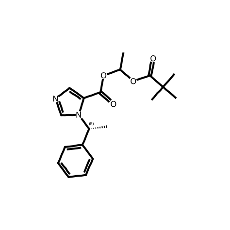 CC(OC(=O)c1cncn1[C@H](C)c1ccccc1)OC(=O)C(C)(C)C